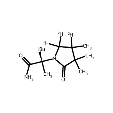 [2H]C1([2H])N([C@](C)(C(N)=O)C(C)CC)C(=O)C(C)(C)C1([2H])C